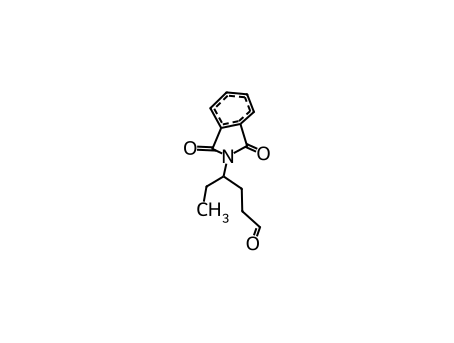 CCC(CCC=O)N1C(=O)c2ccccc2C1=O